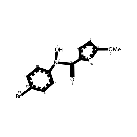 COc1ccc(C(=O)N(O)c2ccc(Br)cc2)o1